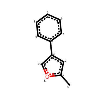 Cc1cc(-c2ccccc2)co1